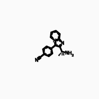 C[C@@H](N)c1nc2ccccn2c1-c1ccc(C#N)cc1